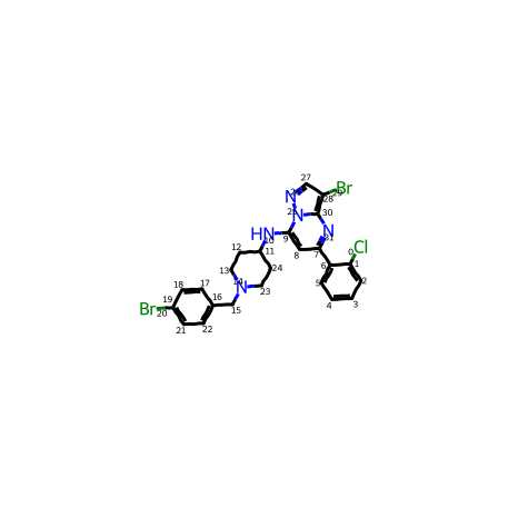 Clc1ccccc1-c1cc(NC2CCN(Cc3ccc(Br)cc3)CC2)n2ncc(Br)c2n1